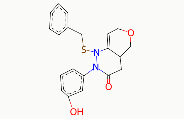 O=C1CC2COCC=C2N(SCc2ccccc2)N1c1cccc(O)c1